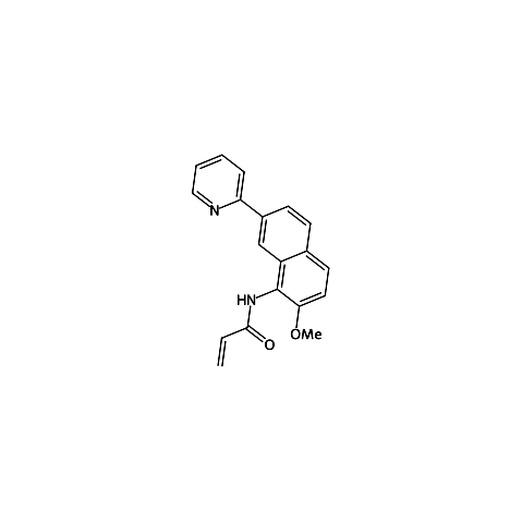 C=CC(=O)Nc1c(OC)ccc2ccc(-c3ccccn3)cc12